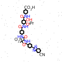 CC(C)Oc1c(NC(=O)c2ccc(NC(=O)C(NC(=O)c3ccc(-c4nc5cc(C#N)ccc5n4C)cc3)C(C)(C)[N+](=O)[O-])cc2)ccc(C(=O)Nc2ccc(C(=O)O)cc2)c1O